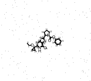 CCOC1(c2nc3sc(C4CCCN4C(=O)Oc4ccccc4)nc3c(=O)[nH]2)CC1